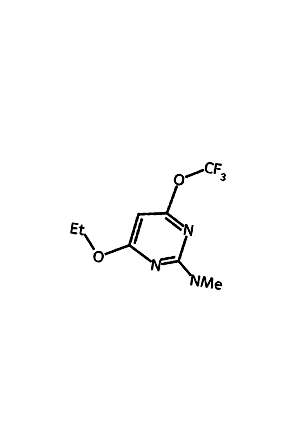 CCOc1cc(OC(F)(F)F)nc(NC)n1